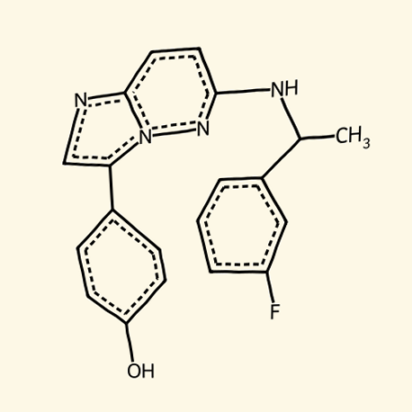 CC(Nc1ccc2ncc(-c3ccc(O)cc3)n2n1)c1cccc(F)c1